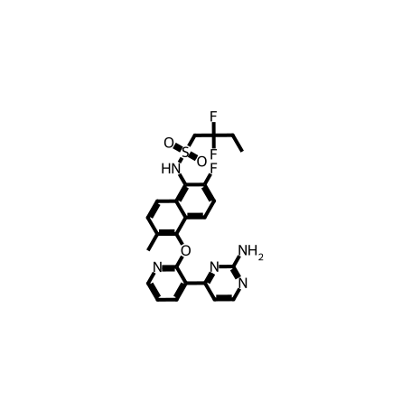 CCC(F)(F)CS(=O)(=O)Nc1c(F)ccc2c(Oc3ncccc3-c3ccnc(N)n3)c(C)ccc12